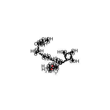 CC(C)(C)[SH](=O)(c1ccc(C(=O)NC[C@@H](CC(=O)CCCN2CCN(CC(=O)O)CCN(CC(=O)O)CCN(CC(=O)O)CC2)C(=O)N[C@H](CCCCNC(=O)CCC(=O)NCCC[C@@H](NC(=O)CC[C@H](NC(=O)N[C@@H](CCC(=O)O)C(=O)O)C(=O)O)C(=O)O)C(=O)O)cc1)C(C)(C)C